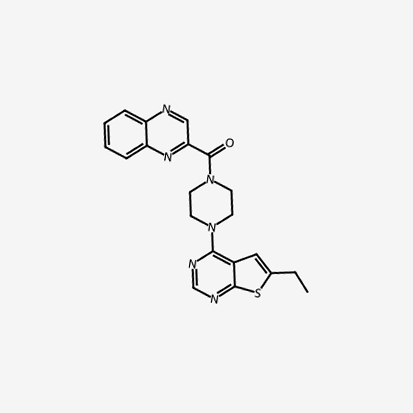 CCc1cc2c(N3CCN(C(=O)c4cnc5ccccc5n4)CC3)ncnc2s1